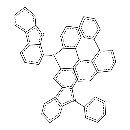 c1ccc(-c2cccc3cccc(-c4ccccc4N(c4ccc5c(c4)c4ccccc4n5-c4ccccc4)c4cccc5c4oc4ccccc45)c23)cc1